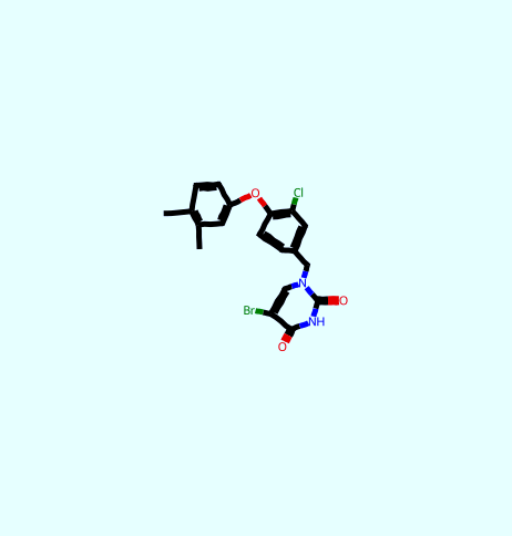 Cc1ccc(Oc2ccc(Cn3cc(Br)c(=O)[nH]c3=O)cc2Cl)cc1C